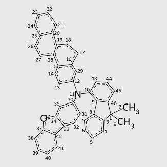 CC1(C)c2ccccc2-c2c(N(c3ccc4c(ccc5c6ccccc6ccc45)c3)c3ccc4c(c3)oc3ccccc34)cccc21